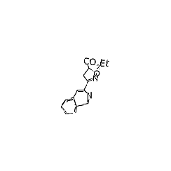 CCOC(=O)C1CC(c2cc3ccccc3cn2)=NO1